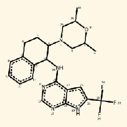 CC1CN(C2CCc3ccccc3C2Nc2ncnc3[nH]c(C(F)(F)F)cc23)CC(C)O1